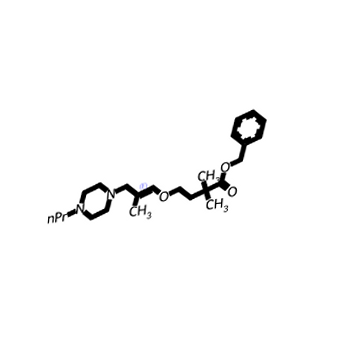 CCCN1CCN(C/C(C)=C/OCCC(C)(C)C(=O)OCc2ccccc2)CC1